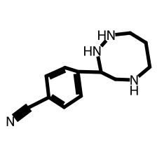 N#Cc1ccc(C2CNCCCNN2)cc1